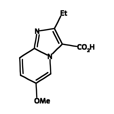 CCc1nc2ccc(OC)cn2c1C(=O)O